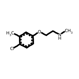 CNCCOc1ccc(Cl)c(C)c1